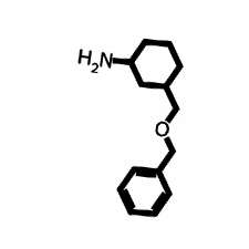 NC1CCCC(COCc2ccccc2)C1